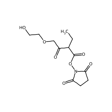 CCC(C(=O)COCCO)C(=O)ON1C(=O)CCC1=O